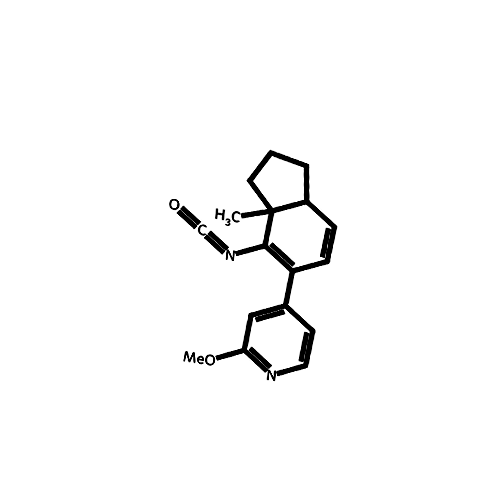 COc1cc(C2=C(N=C=O)C3(C)CCCC3C=C2)ccn1